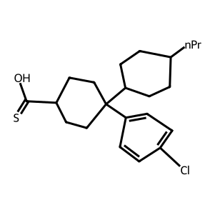 CCCC1CCC(C2(c3ccc(Cl)cc3)CCC(C(O)=S)CC2)CC1